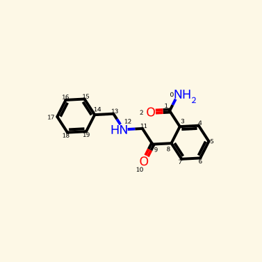 NC(=O)c1ccccc1C(=O)CNCc1ccccc1